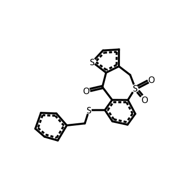 O=C1c2sccc2CS(=O)(=O)c2cccc(SCc3ccccc3)c21